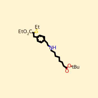 CCOC(=O)C(Cc1ccc(CCNCCCCCCCC(=O)OC(C)(C)C)cc1)SCC